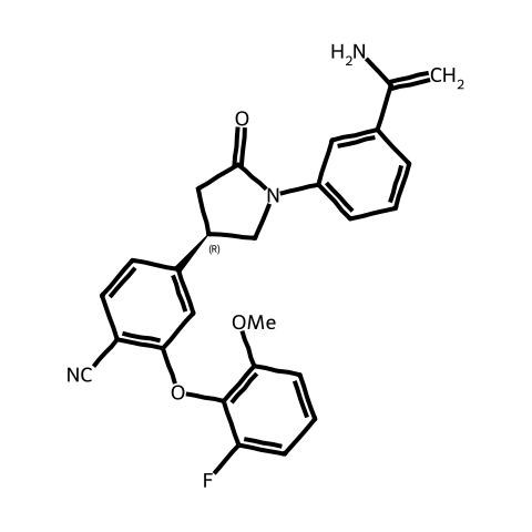 C=C(N)c1cccc(N2C[C@@H](c3ccc(C#N)c(Oc4c(F)cccc4OC)c3)CC2=O)c1